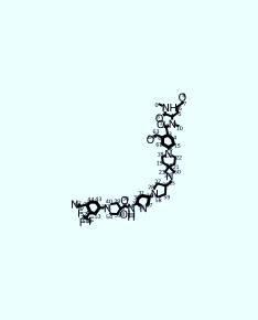 CNC(=O)C(CCC=O)N(C)C(=O)c1ccc(N2CCC3(CC2)CN(CC2CCN(c4ccc(NC(=O)C5(O)CCN(c6ccc(C#N)c(C(F)(F)F)c6)CC5)nc4)CC2)C3)cc1C=O